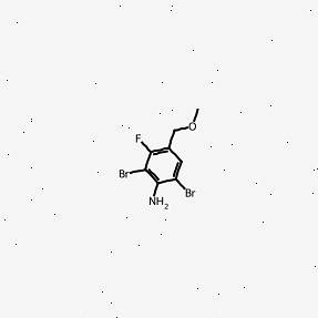 COCc1cc(Br)c(N)c(Br)c1F